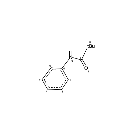 CC(C)(C)C(=O)Nc1ccccc1